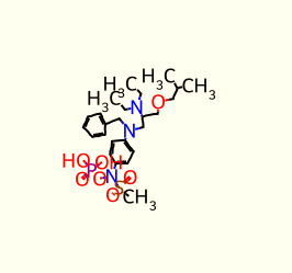 CCN(CC)C(COCC(C)C)CN(Cc1ccccc1)c1ccc(N(OP(=O)(O)O)S(C)(=O)=O)cc1